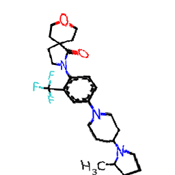 CC1CCCN1C1CCN(c2ccc(N3CCC4(CCOCC4)C3=O)c(C(F)(F)F)c2)CC1